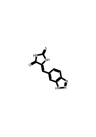 O=C1NC(=S)N/C1=C\c1ccc2nn[nH]c2c1